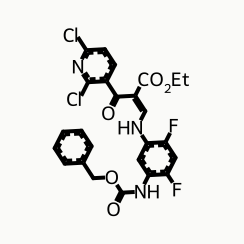 CCOC(=O)C(=CNc1cc(NC(=O)OCc2ccccc2)c(F)cc1F)C(=O)c1ccc(Cl)nc1Cl